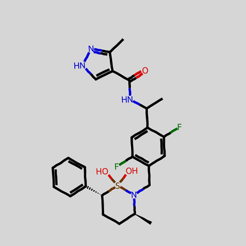 Cc1n[nH]cc1C(=O)NC(C)c1cc(F)c(CN2[C@@H](C)CC[C@H](c3ccccc3)S2(O)O)cc1F